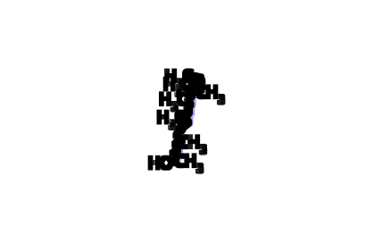 CC1=C(/C=C/C(C)=C/C=C/C(C)=C/C#C/C=C(C)/C=C/C=C(\C)CO)C(C)(C)CCC1